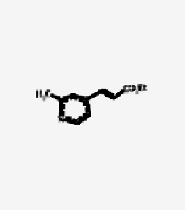 CCOC(=O)/C=C/c1ccnc(C)c1